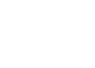 CCOC(=O)CCCCCCN1C(=O)CC[C@@H]1C=CC(=O)c1cccc(C(OC)(OC)c2ccccc2)c1